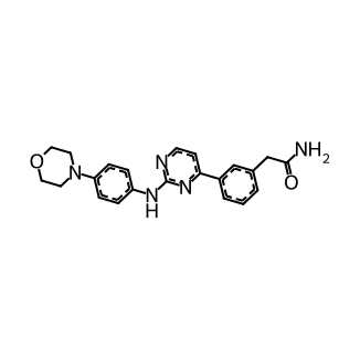 NC(=O)Cc1cccc(-c2ccnc(Nc3ccc(N4CCOCC4)cc3)n2)c1